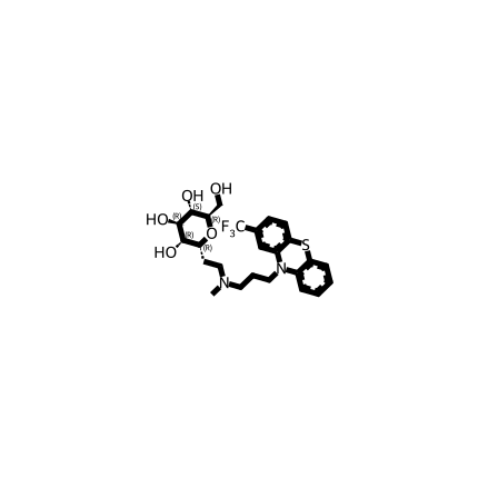 CN(CCCN1c2ccccc2Sc2ccc(C(F)(F)F)cc21)CC[C@H]1O[C@H](CO)[C@@H](O)[C@H](O)[C@H]1O